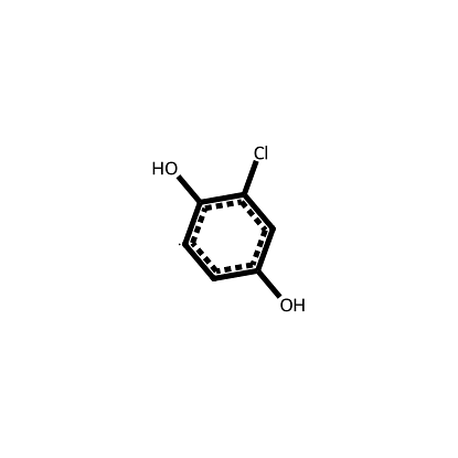 Oc1c[c]c(O)c(Cl)c1